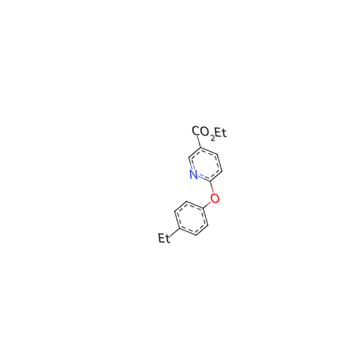 CCOC(=O)c1ccc(Oc2ccc(CC)cc2)nc1